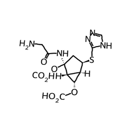 NCC(=O)N[C@]1(OC(=O)O)C[C@@H](Sc2nnc[nH]2)[C@H]2[C@H](OC(=O)O)[C@@H]21